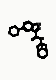 CN1C2CCCC1CC(NC(=O)c1n[nH]c3ccc(N4CCSCC4)cc13)C2